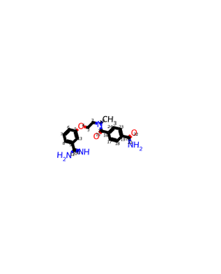 CN(CCOc1cccc(C(=N)N)c1)C(=O)c1ccc(C(N)=O)cc1